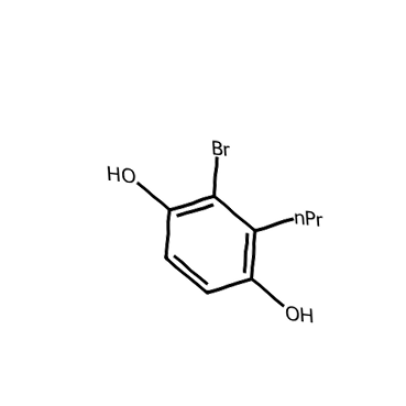 CCCc1c(O)ccc(O)c1Br